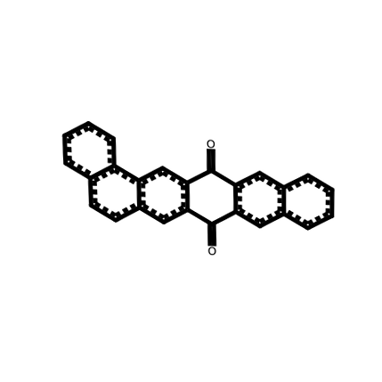 O=C1c2cc3ccccc3cc2C(=O)c2cc3c(ccc4ccccc43)cc21